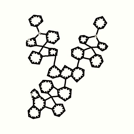 c1ccc(N2c3ccccc3C3(c4ccccc4-c4c(-c5cccc6c(-c7cccc8c7-c7ccccc7C87c8ccccc8-c8c7c7ccccc7c7ccccc87)c7cccc(-c8cccc9c8-c8ccccc8C98c9ccccc9N(c9ccccc9)c9ccccc98)c7cc56)cccc43)c3ccccc32)cc1